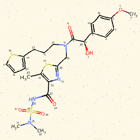 COc1ccc([C@@H](O)C(=O)N(CCCc2cccs2)Cc2nc(C(=O)NS(=O)(=O)N(C)C)c(C)s2)cc1